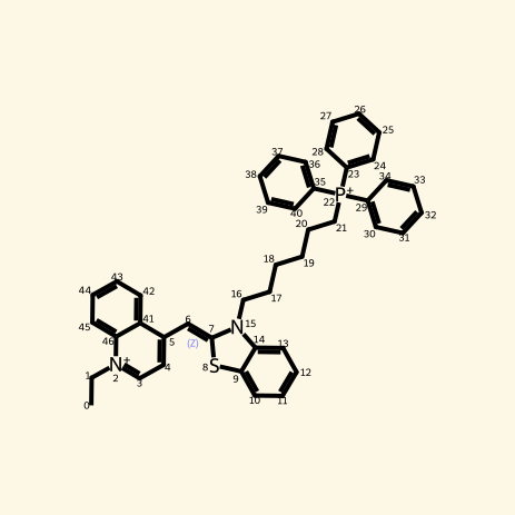 CC[n+]1ccc(/C=C2\Sc3ccccc3N2CCCCCC[P+](c2ccccc2)(c2ccccc2)c2ccccc2)c2ccccc21